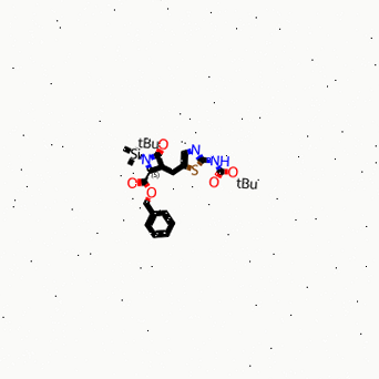 CC(C)(C)OC(=O)Nc1ncc(CC2C(=O)N([Si](C)(C)C(C)(C)C)[C@@H]2C(=O)OCc2ccccc2)s1